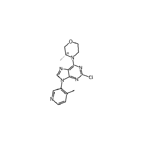 Cc1ccncc1-n1cnc2c(N3CCOC[C@H]3C)nc(Cl)nc21